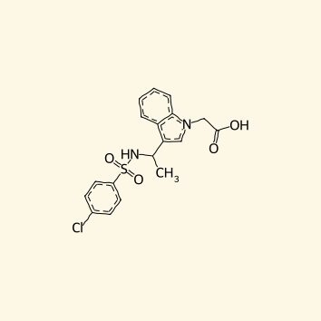 CC(NS(=O)(=O)c1ccc(Cl)cc1)c1cn(CC(=O)O)c2ccccc12